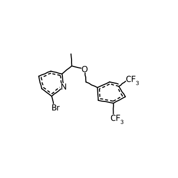 CC(OCc1cc(C(F)(F)F)cc(C(F)(F)F)c1)c1cccc(Br)n1